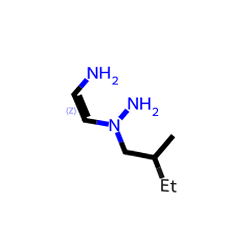 CCC(C)CN(N)/C=C\N